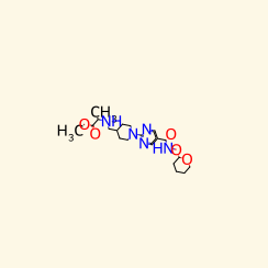 COC(=O)C(C)NCC1CCN(c2ncc(C(=O)NOC3CCCCO3)cn2)CC1